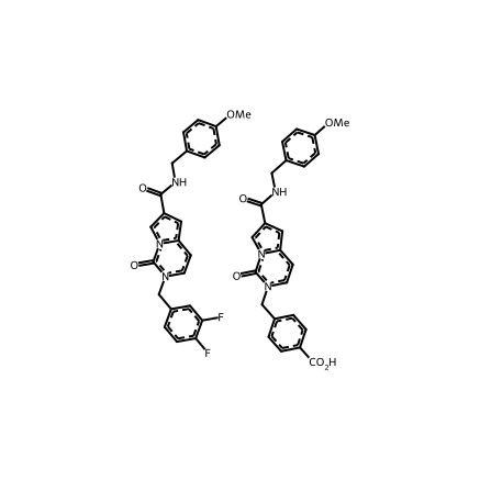 COc1ccc(CNC(=O)c2cc3ccn(Cc4ccc(C(=O)O)cc4)c(=O)n3c2)cc1.COc1ccc(CNC(=O)c2cc3ccn(Cc4ccc(F)c(F)c4)c(=O)n3c2)cc1